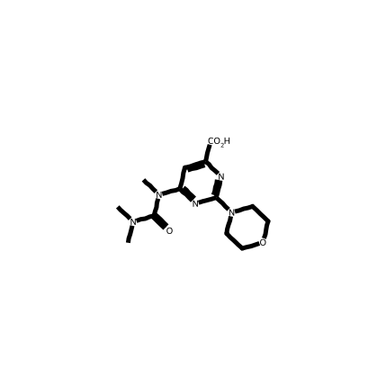 CN(C)C(=O)N(C)c1cc(C(=O)O)nc(N2CCOCC2)n1